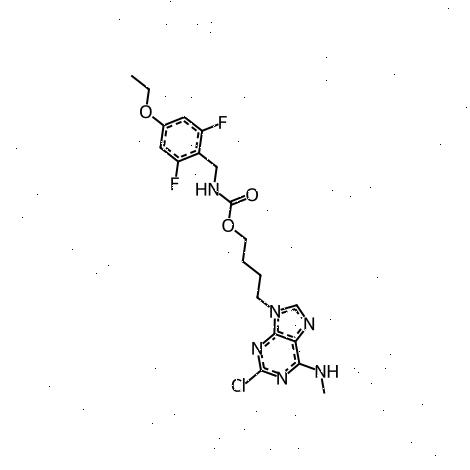 CCOc1cc(F)c(CNC(=O)OCCCCn2cnc3c(NC)nc(Cl)nc32)c(F)c1